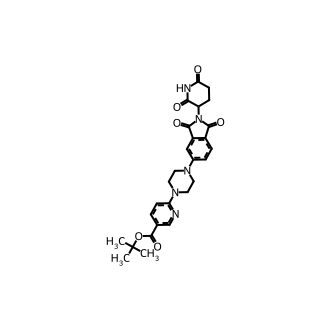 CC(C)(C)OC(=O)c1ccc(N2CCN(c3ccc4c(c3)C(=O)N(C3CCC(=O)NC3=O)C4=O)CC2)nc1